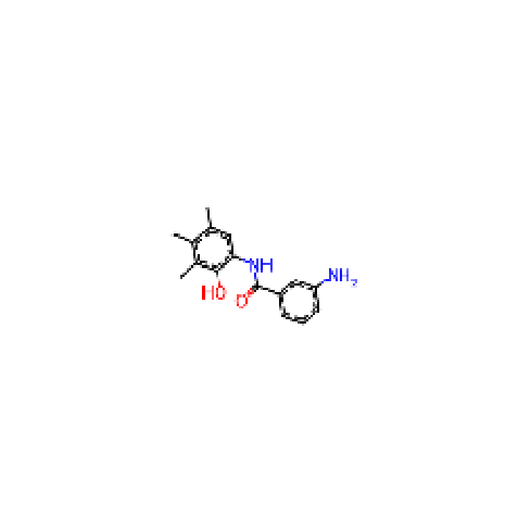 Cc1cc(NC(=O)c2cccc(N)c2)c(O)c(C)c1C